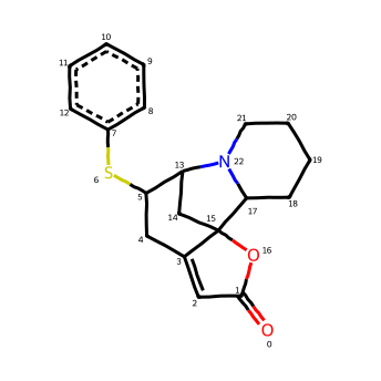 O=C1C=C2CC(Sc3ccccc3)C3CC2(O1)C1CCCCN31